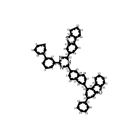 c1ccc(-c2cccc(-c3nc(-c4ccc5cc(-c6cc(-c7ccccc7)cc7oc8ccccc8c67)ccc5c4)nc(-c4ccc5c(c4)sc4ccccc45)n3)c2)cc1